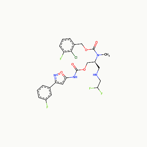 CN(C(=O)OCc1cccc(F)c1Cl)[C@@H](CNCC(F)F)COC(=O)Nc1cc(-c2cccc(F)c2)no1